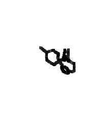 CC1CCC2(CC1)NCCO2